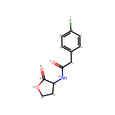 O=C(Cc1ccc(F)cc1)NC1CCOC1=O